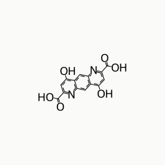 O=C(O)c1cc(O)c2cc3nc(C(=O)O)cc(O)c3cc2n1